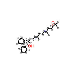 C/C(=C\CCC(C)(C)[Si](O)(c1ccccc1)c1ccccc1)CC/C=C(\C)CCC1OC1(C)C